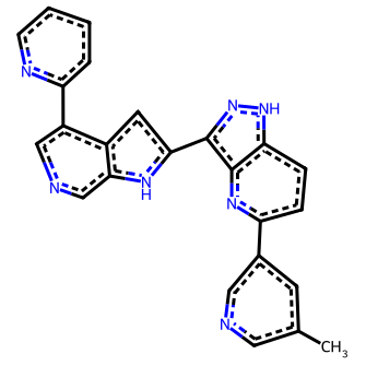 Cc1cncc(-c2ccc3[nH]nc(-c4cc5c(-c6ccccn6)cncc5[nH]4)c3n2)c1